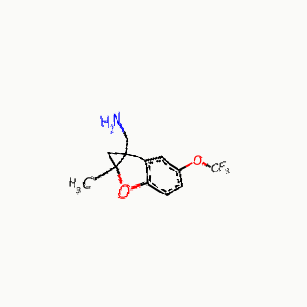 CC12CC1(CN)c1cc(OC(F)(F)F)ccc1O2